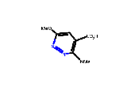 CNc1nnc(OC)cc1C(=O)O